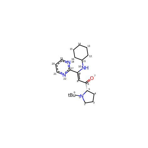 CC(C)(C)N1CCC[C@H]1C(=O)/C=C(\NC1CCCCC1)c1ncccn1